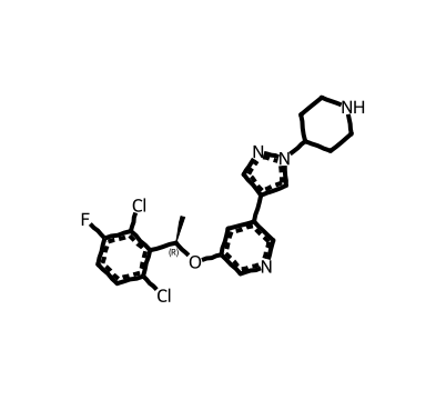 C[C@@H](Oc1cncc(-c2cnn(C3CCNCC3)c2)c1)c1c(Cl)ccc(F)c1Cl